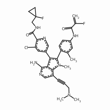 C=C(F)C(=O)Nc1ccc(-c2c(-c3cnc(C(=O)NCC4(F)CC4)c(Cl)c3)c3c(N)ncc(C#CCN(C)C)c3n2C)c(C)c1